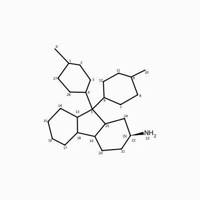 CC1CCC(C2(C3CCC(C)CC3)C3CCCCC3C3CC[C@H](N)CC32)CC1